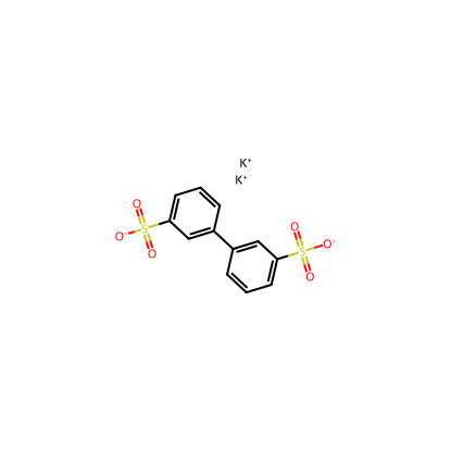 O=S(=O)([O-])c1cccc(-c2cccc(S(=O)(=O)[O-])c2)c1.[K+].[K+]